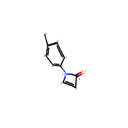 Cc1ccc(N2C=CC2=O)cc1